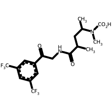 CC(CC(C)N(C)C(=O)O)C(=O)NCC(=O)c1cc(C(F)(F)F)cc(C(F)(F)F)c1